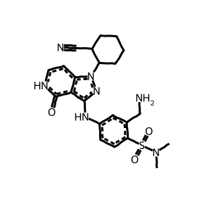 CN(C)S(=O)(=O)c1ccc(Nc2nn(C3CCCCC3C#N)c3cc[nH]c(=O)c23)cc1CN